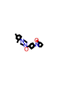 Cc1ccc(N2CCN(C(=O)c3ccc(N4C(=O)C5C=CC4C5)cc3)CC2)c(C)c1